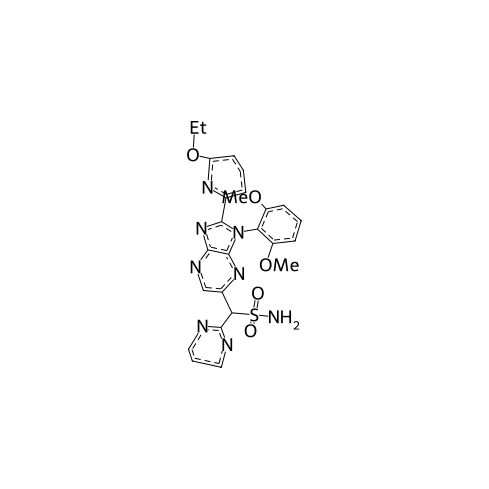 CCOc1cccc(-c2nc3ncc(C(c4ncccn4)S(N)(=O)=O)nc3n2-c2c(OC)cccc2OC)n1